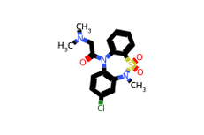 CN(C)CC(=O)N1c2ccc(Cl)cc2N(C)S(=O)(=O)c2ccccc21